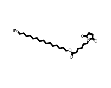 CC(C)CCCCCCCCCCCCCCCOC(=O)CCCCCN1C(=O)C=CC1=O